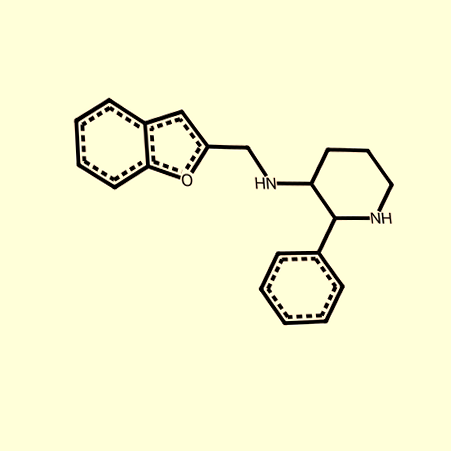 c1ccc(C2NCCCC2NCc2cc3ccccc3o2)cc1